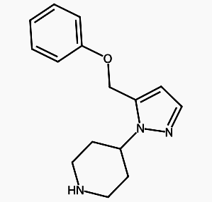 c1ccc(OCc2ccnn2C2CCNCC2)cc1